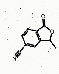 CC1OC(=O)c2ccc(C#N)cc21